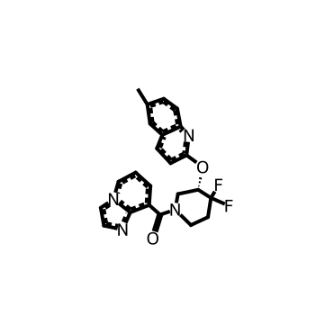 Cc1ccc2nc(O[C@H]3CN(C(=O)c4cccn5ccnc45)CCC3(F)F)ccc2c1